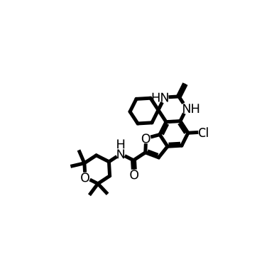 C=C1Nc2c(Cl)cc3cc(C(=O)NC4CC(C)(C)OC(C)(C)C4)oc3c2C2(CCCCC2)N1